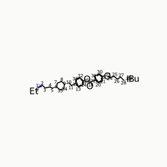 CC/C=C\CCC[C@H]1CC[C@H](CCc2ccc(OC(=O)c3ccc(OCCCCC[C@@H](C)CC)cc3)cc2)CC1